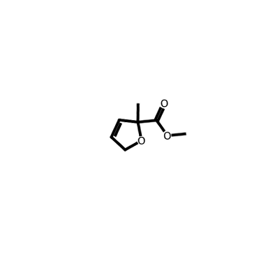 COC(=O)C1(C)C=CCO1